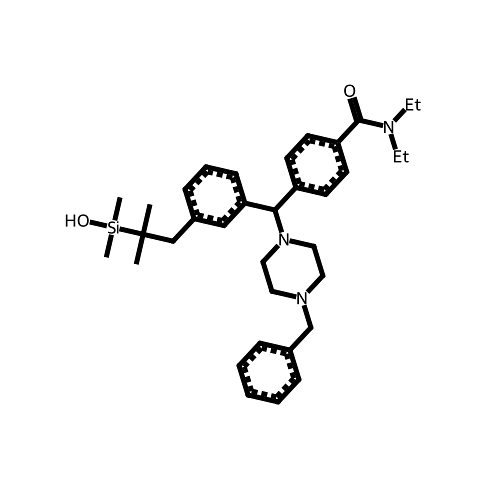 CCN(CC)C(=O)c1ccc(C(c2cccc(CC(C)(C)[Si](C)(C)O)c2)N2CCN(Cc3ccccc3)CC2)cc1